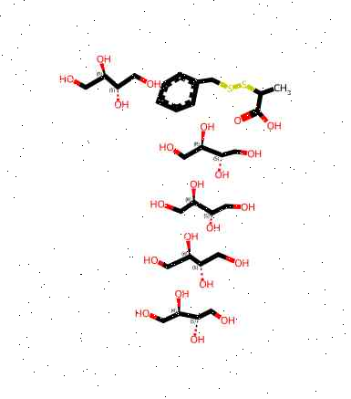 CC(SSCc1ccccc1)C(=O)O.OC[C@@H](O)[C@@H](O)CO.OC[C@@H](O)[C@@H](O)CO.OC[C@@H](O)[C@@H](O)CO.OC[C@@H](O)[C@@H](O)CO.OC[C@@H](O)[C@@H](O)CO